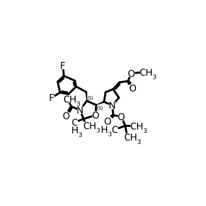 COC(=O)C=C1CC([C@H]2OC(C)(C)N(C(C)=O)[C@H]2Cc2cc(F)cc(F)c2)N(C(=O)OC(C)(C)C)C1